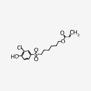 C=CC(=O)OCCCCCCS(=O)(=O)c1ccc(O)c(Cl)c1